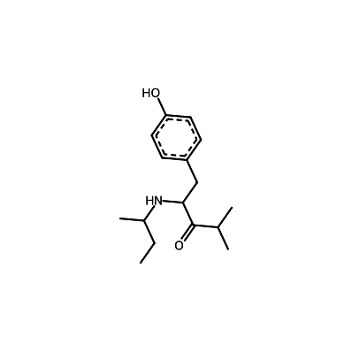 CCC(C)NC(Cc1ccc(O)cc1)C(=O)C(C)C